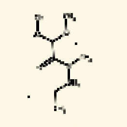 CC[SiH2]N(C)C(=O)C(OC)OC